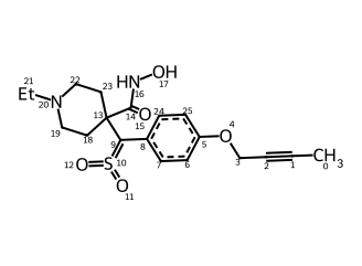 CC#CCOc1ccc(C(=S(=O)=O)C2(C(=O)NO)CCN(CC)CC2)cc1